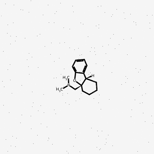 CN(C)C[C@]12CCCC[C@H]1c1ccccc1O2